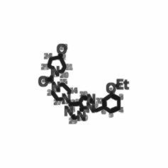 CCOc1cccc(Cn2ncc3c(N4CCN(C(=O)N5CCC(=O)CC5)CC4)ncnc32)c1